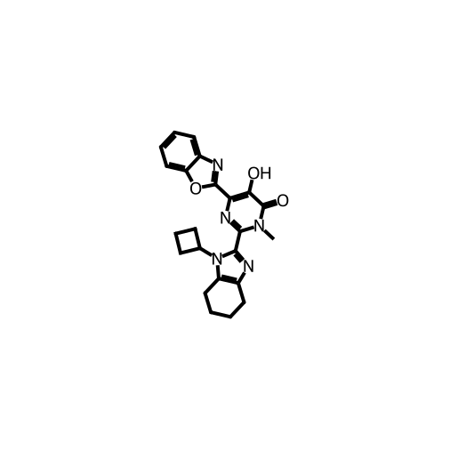 Cn1c(-c2nc3c(n2C2CCC2)CCCC3)nc(-c2nc3ccccc3o2)c(O)c1=O